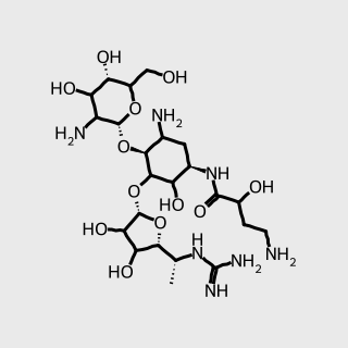 C[C@@H](NC(=N)N)[C@H]1O[C@@H](OC2C(O)[C@H](NC(=O)C(O)CCN)CC(N)[C@@H]2O[C@H]2OC(CO)[C@@H](O)C(O)C2N)C(O)C1O